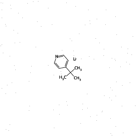 CC(C)(C)c1ccncc1.[Li]